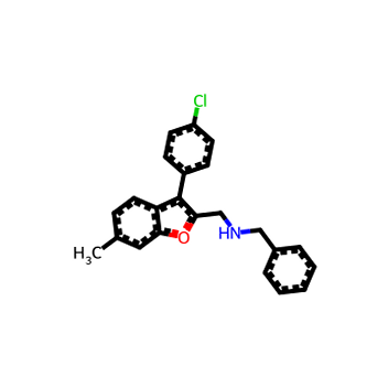 Cc1ccc2c(-c3ccc(Cl)cc3)c(CNCc3ccccc3)oc2c1